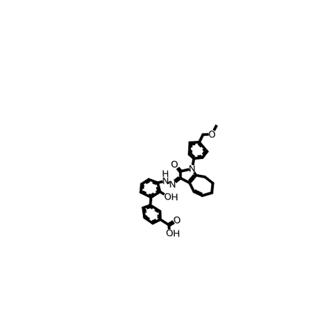 COCc1ccc(N2C(=O)/C(=N\Nc3cccc(-c4cccc(C(=O)O)c4)c3O)C3=C2CCCC=C3)cc1